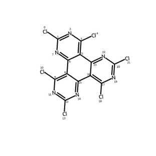 Clc1nc(Cl)c2c(n1)c1c(Cl)nc(Cl)nc1c1c(Cl)nc(Cl)nc21